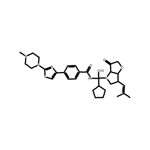 CC(C)=CC1CN(C(C=O)(NC(=O)c2ccc(-c3csc(N4CCN(C)CC4)n3)cc2)C2CCCC2)C2C(=O)COC12